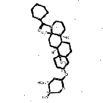 CC12CC[C@H](OC3C[C@@H](O)[C@H](O)CO3)CC1CCC1[C@@H]2CCC2(C)[C@H]1CCCN2C(=O)C1CCCCC1